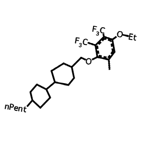 CCCCCC1CCC(C2CCC(COc3c(C)cc(OCC)c(C(F)(F)F)c3C(F)(F)F)CC2)CC1